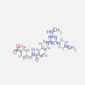 CNc1nc(N2CCN(C)CC2)nc(N2CCc3cc(C(=O)NCc4ccc(C(=O)O)cc4)ccc3C2)n1